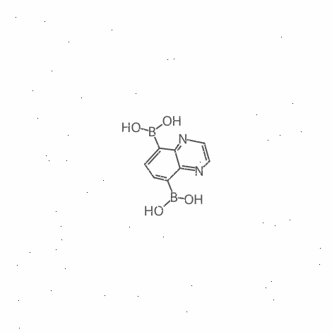 OB(O)c1ccc(B(O)O)c2nccnc12